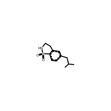 CC(C)Cc1ccc2c(c1)CCNS2(=O)=O